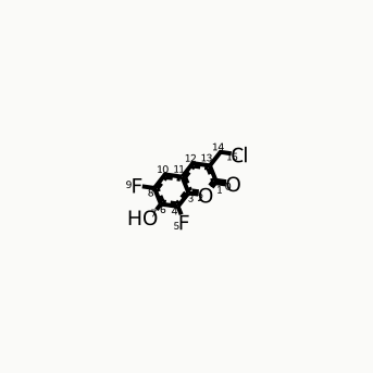 O=c1oc2c(F)c(O)c(F)cc2cc1CCl